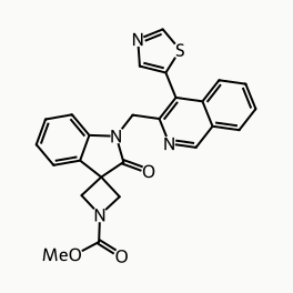 COC(=O)N1CC2(C1)C(=O)N(Cc1ncc3ccccc3c1-c1cncs1)c1ccccc12